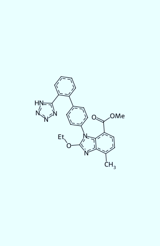 CCOc1nc2c(C)ccc(C(=O)OC)c2n1-c1ccc(-c2ccccc2-c2nnn[nH]2)cc1